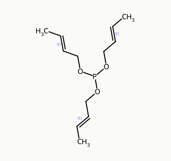 C/C=C/COP(OC/C=C/C)OC/C=C/C